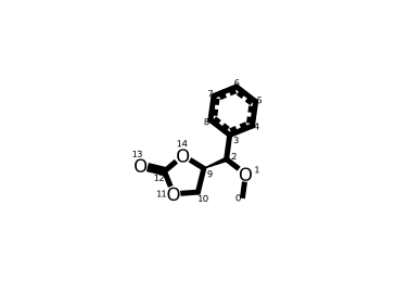 COC(c1ccccc1)[C@H]1COC(=O)O1